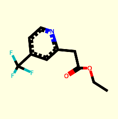 CCOC(=O)Cc1cc(C(F)(F)F)ccn1